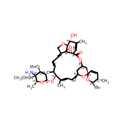 CCC(C)[C@H]1O[C@]2(C=C[C@@H]1C)C[C@@H]1C[C@@H](C/C=C(\C)[C@@H](O[C@H]3C[C@H](OC)[C@](N)(N(C)O)[C@H](C)O3)C(C)/C=C/C=C3\COC4[C@H](O)C(C)=C[C@@H](C(=O)O1)[C@]34O)O2